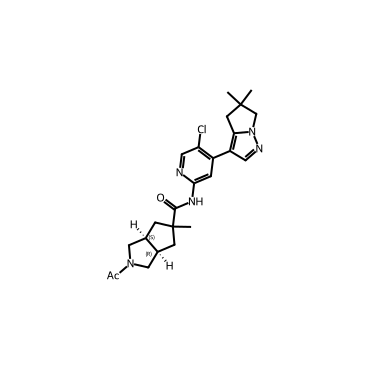 CC(=O)N1C[C@@H]2CC(C)(C(=O)Nc3cc(-c4cnn5c4CC(C)(C)C5)c(Cl)cn3)C[C@@H]2C1